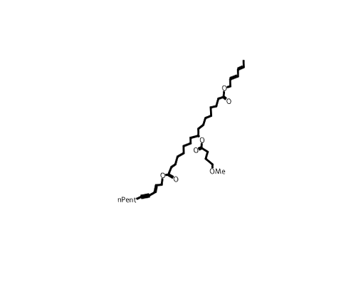 C/C=C/C=C/COC(=O)CCCCCCCC(CCCCCCCC(=O)OC/C=C/C#CCCCCC)OC(=O)CCCOC